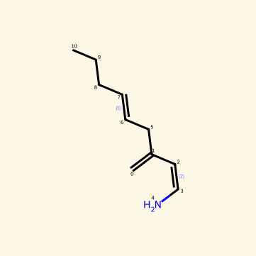 C=C(/C=C\N)C/C=C/CCC